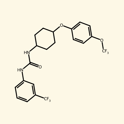 O=C(Nc1cccc(C(F)(F)F)c1)NC1CCC(Oc2ccc(OC(F)(F)F)cc2)CC1